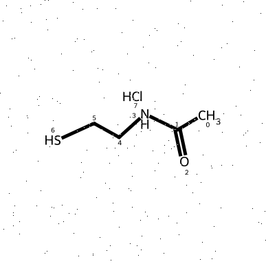 CC(=O)NCCS.Cl